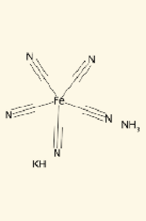 N.N#[C][Fe]([C]#N)([C]#N)([C]#N)[C]#N.[KH]